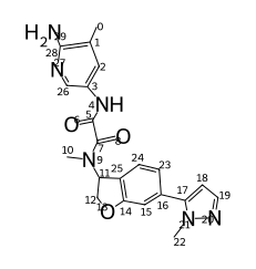 Cc1cc(NC(=O)C(=O)N(C)C2COc3cc(-c4ccnn4C)ccc32)cnc1N